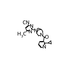 Cc1cc(C#N)nc(N2CC3CC2CN(C(=O)c2cccnc2C2CC2)C3)n1